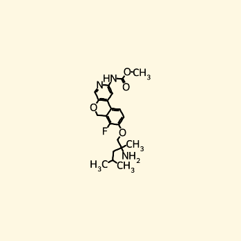 COC(=O)Nc1cc2c(cn1)OCc1c-2ccc(OCC(C)(N)CC(C)C)c1F